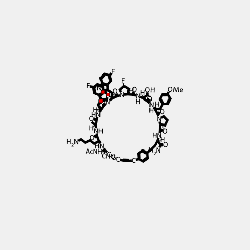 COc1ccc(C[C@H]2NC(=O)[C@H]([C@@H](C)O)NC(=O)[C@@H]3C[C@H](F)CN3C(=O)[C@@H](Cc3c[nH]c4ccc(F)cc34)NC(=O)[C@@H](Cc3c[nH]c4ccc(F)cc34)NC(=O)[C@H](C)NC(=O)C(CCCCN)N[C@@](C=O)(NC(C)=O)CCC/C=C\Cc3ccc(cc3)C[C@H](C(N)=O)NC(=O)[C@]3(C)CCCN3C2=O)cc1